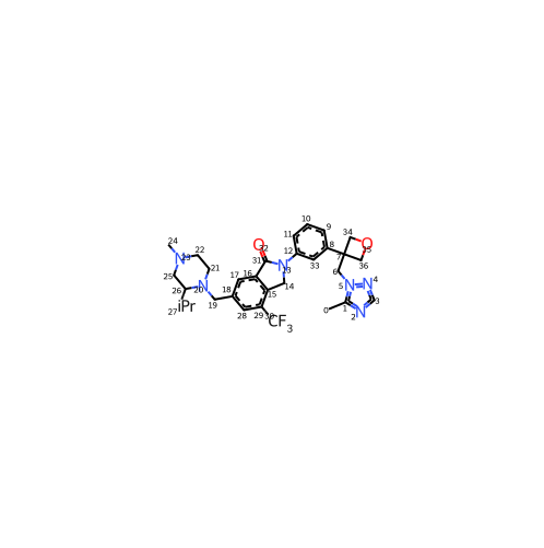 Cc1ncnn1CC1(c2cccc(N3Cc4c(cc(CN5CCN(C)CC5C(C)C)cc4C(F)(F)F)C3=O)c2)COC1